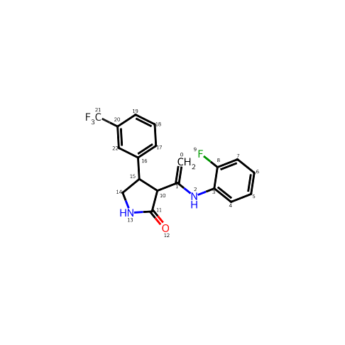 C=C(Nc1ccccc1F)C1C(=O)NCC1c1cccc(C(F)(F)F)c1